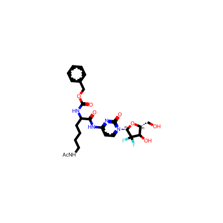 CC(=O)NCCCCC(NC(=O)OCc1ccccc1)C(=O)Nc1ccn([C@@H]2O[C@H](CO)C(O)C2(F)F)c(=O)n1